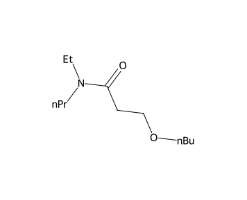 CCCCOCCC(=O)N(CC)CCC